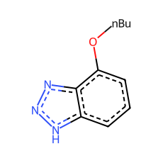 CCCCOc1cccc2[nH]nnc12